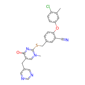 Cc1cc(Oc2ccc(CSc3nc(=O)c(Cc4cncnc4)cn3C)cc2C#N)ccc1Cl